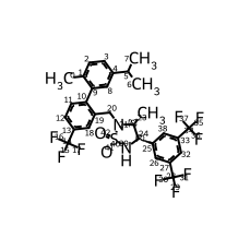 Cc1ccc(C(C)C)cc1-c1ccc(C(F)(F)F)cc1CN1[C@@H](C)[C@@H](c2cc(C(F)(F)F)cc(C(F)(F)F)c2)NS1(=O)=O